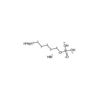 Br.CCCCCCCCCCCCOP(=O)(O)O